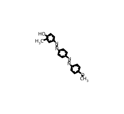 COc1ccc(N=Nc2ccc(N=Nc3ccc(O)c(C)c3)cc2)cc1